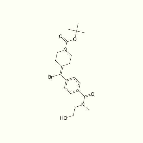 CN(CCO)C(=O)c1ccc(C(Br)=C2CCN(C(=O)OC(C)(C)C)CC2)cc1